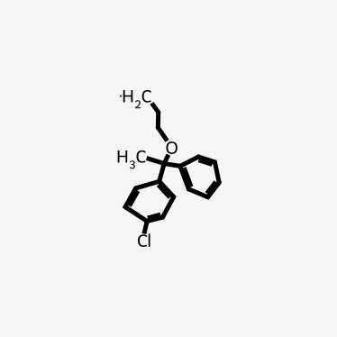 [CH2]CCOC(C)(c1ccccc1)c1ccc(Cl)cc1